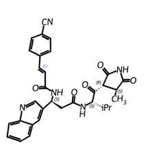 CC(C)[C@H](NC(=O)C[C@H](NC(=O)/C=C/c1ccc(C#N)cc1)c1cnc2ccccc2c1)C(=O)[C@@H]1C(=O)NC(=O)[C@H]1C